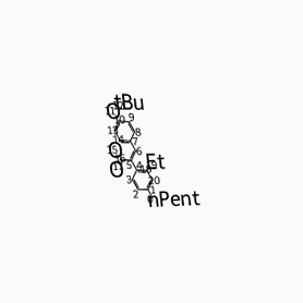 CCCCCc1ccc(-c2cc3ccc(OC(C)(C)C)cc3oc2=O)c(CC)c1